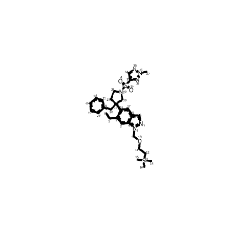 CCc1cc2c(cnn2COCC[Si](C)(C)C)cc1C1(Cc2ccccc2)CCN(S(=O)(=O)c2cnn(C)n2)C1